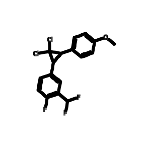 COc1ccc(C2C(c3ccc(F)c(C(F)F)c3)C2(Cl)Cl)cc1